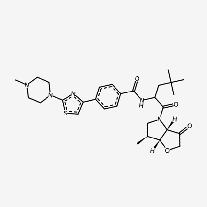 C[C@H]1CN(C(=O)C(CC(C)(C)C)NC(=O)c2ccc(-c3csc(N4CCN(C)CC4)n3)cc2)[C@@H]2C(=O)CO[C@@H]21